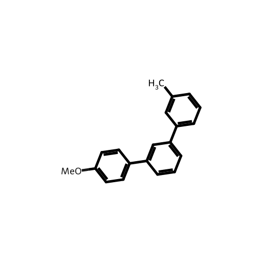 COc1ccc(-c2cccc(-c3cccc(C)c3)c2)cc1